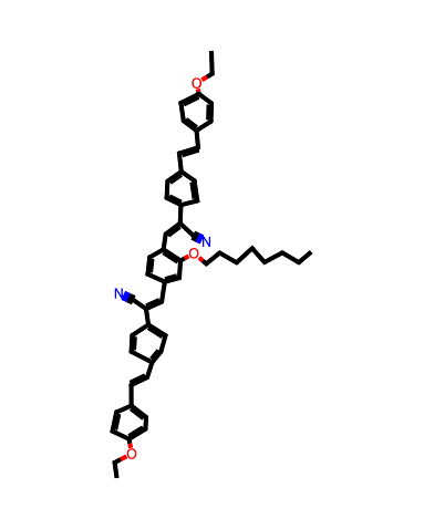 CCCCCCCCOc1cc(C=C(C#N)c2ccc(C=Cc3ccc(OCC)cc3)cc2)ccc1C=C(C#N)c1ccc(C=Cc2ccc(OCC)cc2)cc1